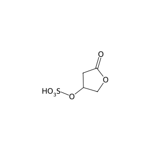 O=C1CC(OS(=O)(=O)O)CO1